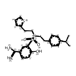 CC(C)c1ccc(CCN(CCc2cccs2)S(=O)(=O)c2cc(C(=N)N)ccc2O)cc1